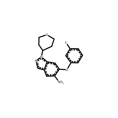 O=[N+]([O-])c1cc2cnn(C3CCOCC3)c2cc1Oc1cccc(F)c1